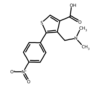 CN(C)Cc1c(C(=O)O)csc1-c1ccc([N+](=O)[O-])cc1